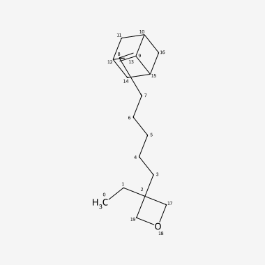 CCC1(CCCCCC2=C3C4CC(C2)CC3C4)COC1